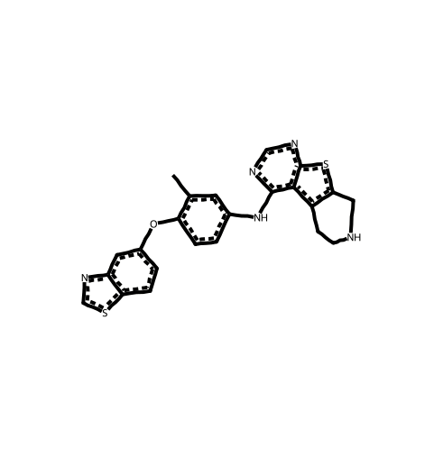 Cc1cc(Nc2ncnc3sc4c(c23)CCNC4)ccc1Oc1ccc2scnc2c1